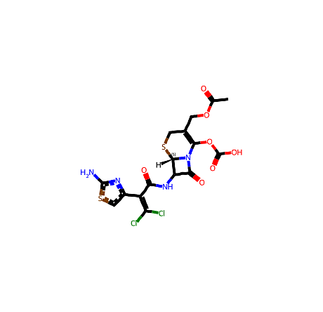 CC(=O)OCC1=C(OC(=O)O)N2C(=O)C(NC(=O)C(=C(Cl)Cl)c3csc(N)n3)[C@@H]2SC1